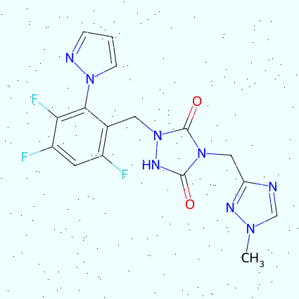 Cn1cnc(Cn2c(=O)[nH]n(Cc3c(F)cc(F)c(F)c3-n3cccn3)c2=O)n1